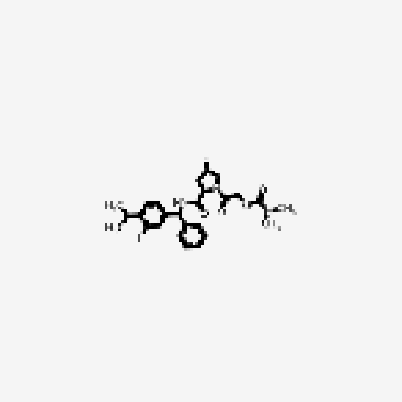 CC(C)c1ccc(C(NC(=O)C2CC(F)CN2C(=O)COC(=O)N(C)C)c2ccccc2)cc1F